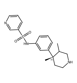 CC1CNCC[C@]1(C)c1cccc(NS(=O)(=O)c2cccnc2)c1